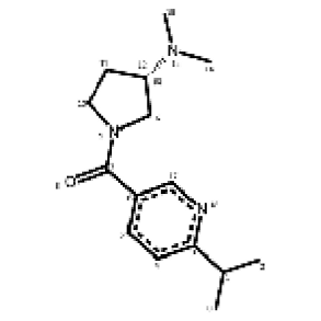 CC(C)c1ccc(C(=O)N2CC[C@H](N(C)C)C2)cn1